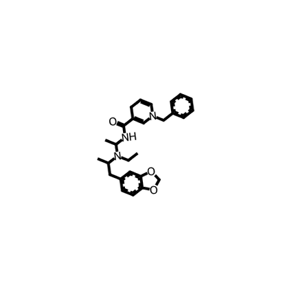 CCN(C(C)Cc1ccc2c(c1)OCO2)C(C)NC(=O)C1=CN(Cc2ccccc2)C=CC1